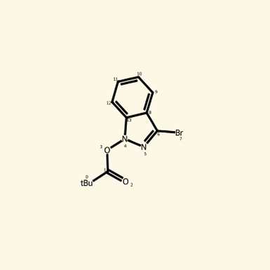 CC(C)(C)C(=O)On1nc(Br)c2ccccc21